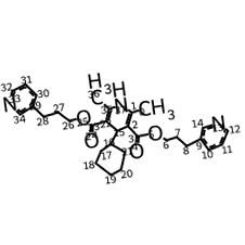 CC1=C(C(=O)OCCCc2cccnc2)C(C2CCCCC2)C(C(=O)OCCCc2cccnc2)=C(C)N1